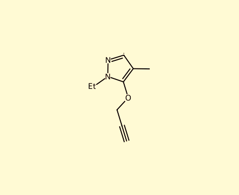 C#CCOc1c(C)[c]nn1CC